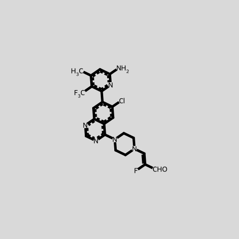 Cc1cc(N)nc(-c2cc3ncnc(N4CCN(C=C(F)C=O)CC4)c3cc2Cl)c1C(F)(F)F